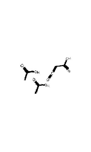 CC(=O)O.CC(=O)O.O=C=CC(=O)O